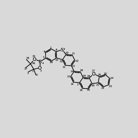 CC1(C)OB(c2ccc3sc4ccc(-c5ccc6ccc7c8ccccc8oc7c6c5)cc4c3c2)OC1(C)C